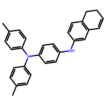 Cc1ccc(N(c2ccc(C)cc2)c2ccc(Nc3ccc4c(c3)C=CCC4)cc2)cc1